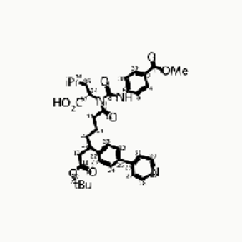 COC(=O)c1ccc(NC(=O)N(C(=O)CCCC(CC(=O)OC(C)(C)C)c2ccc(-c3ccncc3)cc2)[C@@H](CC(C)C)C(=O)O)cc1